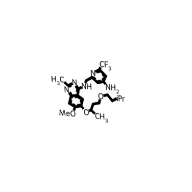 COc1cc2nc(C)nc(NCc3cc(N)cc(C(F)(F)F)n3)c2cc1OC(C)CCOCCC(C)C